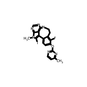 Cc1ccnc(Oc2ccc3c(c2F)CCNc2ncnc4c2c-3c(I)n4C)n1